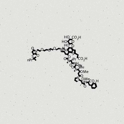 CCCC(C)(C)SC1CC(=O)N(CCOCCOCCOCCn2cc(CC(OC(=O)N(C)[C@H](C(=O)N[C@H](C(=O)N(C)[C@@H](C(C)CC)[C@@H](CC(=O)N3CCC[C@H]3[C@H](OC)[C@@H](C)C(=O)NC(Cc3ccccc3)C(=O)O)OC)C(C)C)C(C)C)c3ccc(O[C@@H]4O[C@H](C(=O)O)[C@@H](O)[C@H](O)[C@H]4O)c4cc(CCC(=O)O)sc34)nn2)C1=O